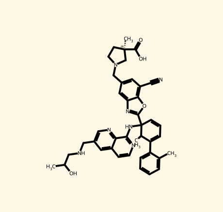 Cc1ccccc1C1=CC=CC(Nc2nccc3cc(CNCC(C)O)cnc23)(c2nc3cc(CN4CC[C@@](C)(C(=O)O)C4)cc(C#N)c3o2)C1C